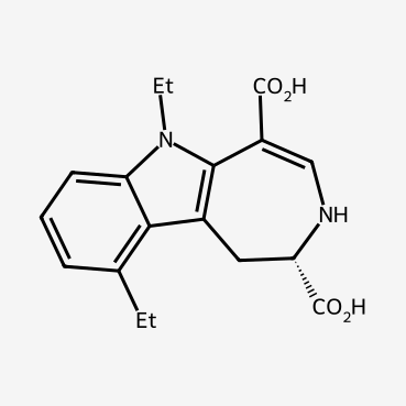 CCc1cccc2c1c1c(n2CC)C(C(=O)O)=CN[C@H](C(=O)O)C1